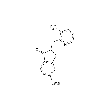 COc1ccc2c(c1)CC(Cc1ncccc1C(F)(F)F)C2=O